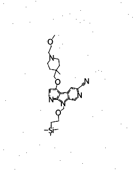 COCCN1CCC(C)(COc2ccnc3c2c2cc(C#N)ncc2n3COCC[Si](C)(C)C)CC1